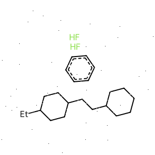 CCC1CCC(CCC2CCCCC2)CC1.F.F.c1ccccc1